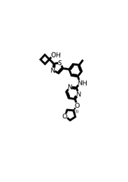 Cc1cc(Nc2nccc(O[C@H]3CCOC3)n2)cc(-c2cnc(C3(O)CCC3)s2)c1